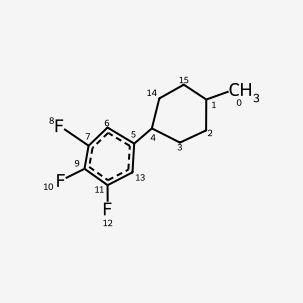 CC1CCC(c2cc(F)c(F)c(F)c2)CC1